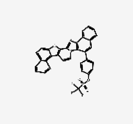 O=S(=O)(Oc1ccc(-c2cc3ccccc3c3nc4c5sc6ccc7ccccc7c6c5ccn4c23)cc1)C(F)(F)F